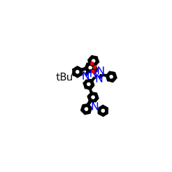 CC(C)(C)c1ccc2c3ccccc3n(-c3ccc(-c4ccc5c(c4)c4ccccc4n5-c4ccccc4)cc3-c3nc(-c4ccccc4)nc(-c4ccccc4)n3)c2c1